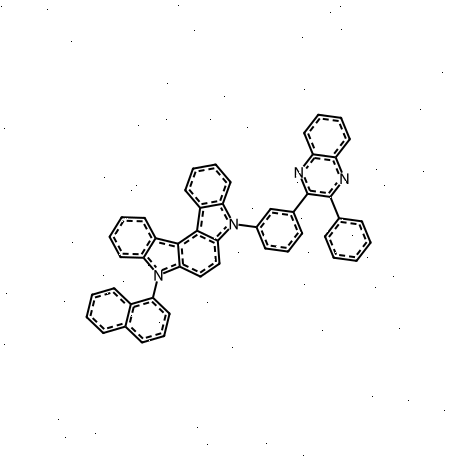 c1ccc(-c2nc3ccccc3nc2-c2cccc(-n3c4ccccc4c4c5c6ccccc6n(-c6cccc7ccccc67)c5ccc43)c2)cc1